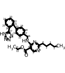 CCCCCc1ncc(C(=O)OCC)c(NCc2ccc(-c3ccccc3-c3nnn[nH]3)cc2)n1